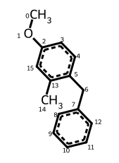 COc1ccc(Cc2ccccc2)c(C)c1